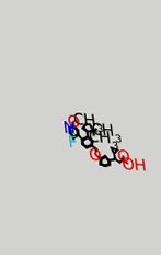 COc1cc(-c2ccc(COc3cccc(C(CC(=O)O)C4CC4)c3)cc2C2=CCCC2(C)C)c(F)cn1